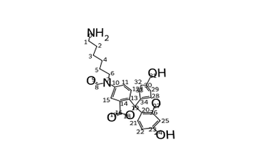 NCCCCCCN(C=O)c1ccc2c(c1)C(=O)OC21c2ccc(O)cc2Oc2cc(O)ccc21